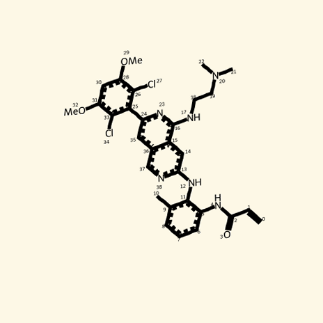 C=CC(=O)Nc1cccc(C)c1Nc1cc2c(NCCN(C)C)nc(-c3c(Cl)c(OC)cc(OC)c3Cl)cc2cn1